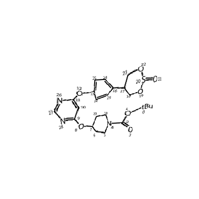 CC(C)(C)OC(=O)N1CCC(Oc2cc(Oc3ccc(C4COS(=O)OC4)cc3)ncn2)CC1